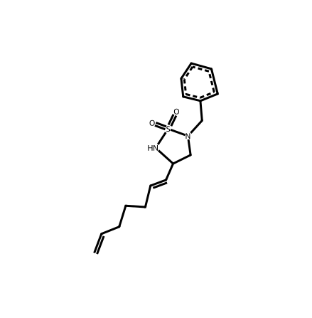 C=CCCCC=CC1CN(Cc2ccccc2)S(=O)(=O)N1